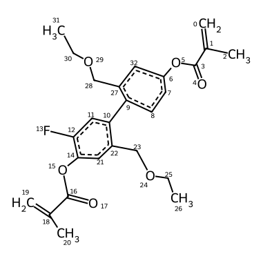 C=C(C)C(=O)Oc1ccc(-c2cc(F)c(OC(=O)C(=C)C)cc2COCC)c(COCC)c1